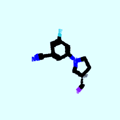 N#Cc1cc(F)cc(N2CC[C@H](CI)C2)c1